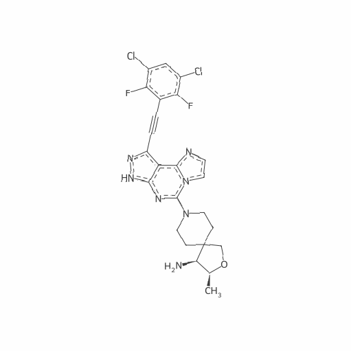 C[C@@H]1OCC2(CCN(c3nc4[nH]nc(C#Cc5c(F)c(Cl)cc(Cl)c5F)c4c4nccn34)CC2)[C@@H]1N